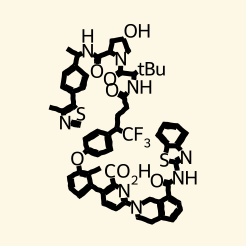 Cc1ncsc1-c1ccc(C(C)NC(=O)C2CC(O)CN2C(=O)C(NC(=O)CCC(c2ccc(Oc3cccc(-c4ccc(N5CCc6cccc(C(=O)Nc7nc8ccccc8s7)c6C5)nc4C(=O)O)c3C)cc2)C(F)(F)F)C(C)(C)C)cc1